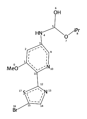 COc1cc(NC(O)OC(C)C)cnc1-c1ncc(Br)s1